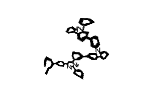 C=C/C=C(\C=C/C)c1ccc(C(/C=C(\N=C)C2C=C(c3ccc4c5ccccc5n(-c5cccc(-c6ccc7c8ccccc8n(-c8ccccc8)c7c6)c5)c4c3)C=CC2)=N/Cc2ccccc2)cc1